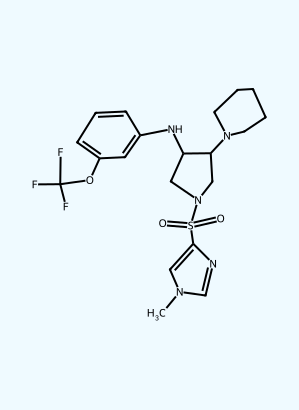 Cn1cnc(S(=O)(=O)N2CC(Nc3cccc(OC(F)(F)F)c3)C(N3CCCCC3)C2)c1